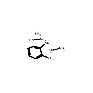 Cc1ccccc1O.N.N[N+](=O)[O-].N[N+](=O)[O-]